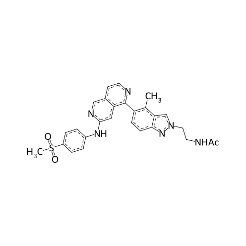 CC(=O)NCCn1cc2c(C)c(-c3nccc4cnc(Nc5ccc(S(C)(=O)=O)cc5)cc34)ccc2n1